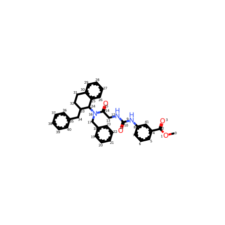 COC(=O)c1cccc(NC(=O)NCC(=O)N(Cc2ccccc2)C2c3ccccc3CCC2Cc2ccccc2)c1